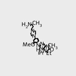 CCC1C(=O)N(C)c2cnc(Nc3ccc(N4CCN(CCC(C)N)CC4)cc3OC)nc2N1C(C)C